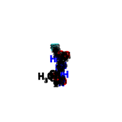 CC(C)(OC[C@H](NC(=O)c1nonc1C1CC1)c1cn2ncc(C(NC(=O)CC3CC(F)(F)C3)C3CCOCC3)cc2n1)C(F)(F)F